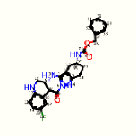 Nc1c2c(nn1C(=O)C1CCNc3ccc(F)cc31)CC[C@@H](NC(=O)OCc1ccccc1)C2